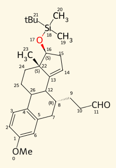 COc1ccc2c(c1)C[C@@H](CCC=O)C1C3=CC[C@H](O[Si](C)(C)C(C)(C)C)[C@@]3(C)CCC21